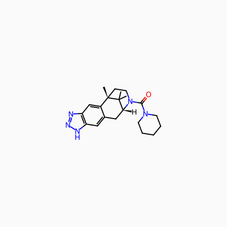 CC1(C)[C@H]2Cc3cc4[nH]nnc4cc3[C@]1(C)CCN2C(=O)N1CCCCC1